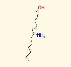 CCCCCCC(N)CCCCCO